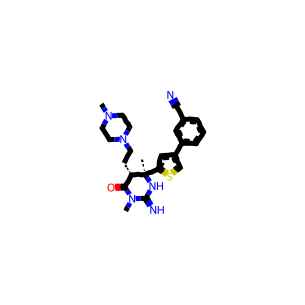 CN1CCN(CC[C@H]2C(=O)N(C)C(=N)N[C@]2(C)c2cc(-c3cccc(C#N)c3)cs2)CC1